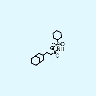 O=S(=O)(CCC1CC2CCCC(C2)C1)NS(=O)(=O)C1CCCCC1